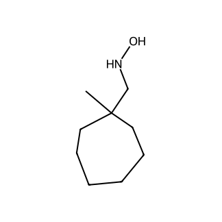 CC1(CNO)CCCCCC1